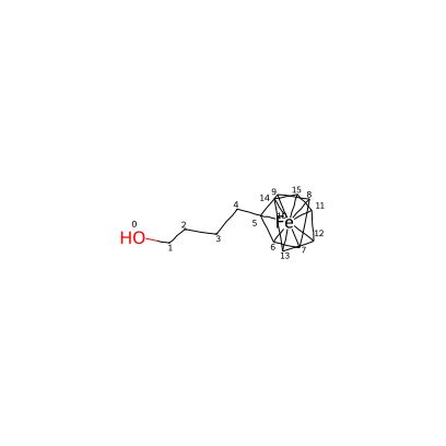 OCCCC[C]12[CH]3[CH]4[CH]5[CH]1[Fe]45321678[CH]2[CH]1[CH]6[CH]7[CH]28